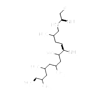 C=CC(C)CC(C)CC(C)CC(O)/C(N)=C\CC(C)CNC(=N)CF